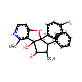 COc1nccc2c1C1(O)C(O)C(C(=O)O)C(c3ccccc3)C1(c1ccc(Br)cc1)O2